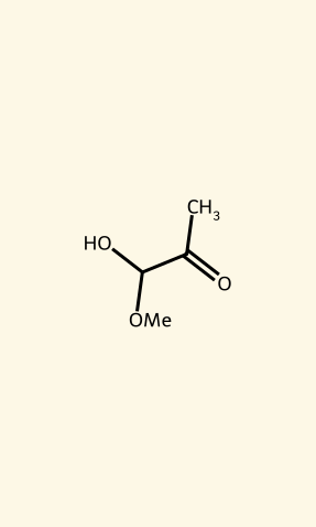 COC(O)C(C)=O